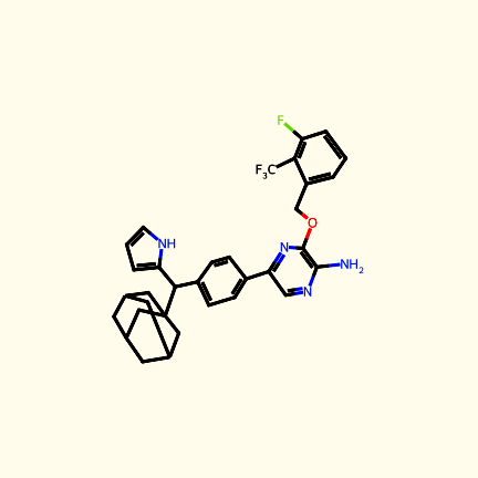 Nc1ncc(-c2ccc([C](c3ccc[nH]3)C34CC5CC(CC(C5)C3)C4)cc2)nc1OCc1cccc(F)c1C(F)(F)F